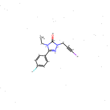 CCn1c(-c2ccc(F)cc2)nn(CC#CI)c1=O